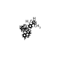 Cc1n[nH]c(C)c1-c1ccc(NC(=O)[C@@H](NC(=O)c2ccnn2C(C)C)C2c3c(F)ccc(F)c3OCC23CC3)cc1